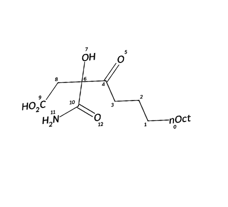 CCCCCCCCCCCC(=O)C(O)(CC(=O)O)C(N)=O